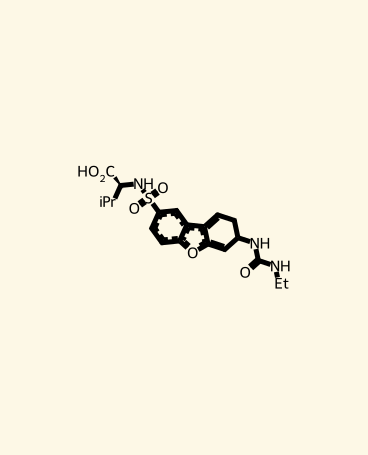 CCNC(=O)NC1C=c2oc3ccc(S(=O)(=O)N[C@H](C(=O)O)C(C)C)cc3c2=CC1